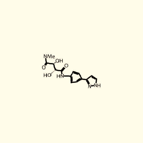 CNC(=O)[C@H](O)[C@@H](O)C(=O)Nc1ccc(-c2cc[nH]n2)cc1